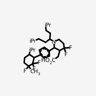 CC(C)CCC(CCC(C)C)N1CCC(F)(F)C(CC(=O)O)C1c1ccc(C2C(C(C)C)CCC(C)(F)C2(F)F)cc1